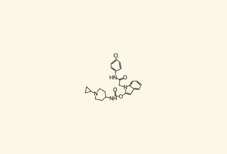 O=C(Cn1c(OC(=O)NC2CCN(C3CC3)CC2)cc2ccccc21)Nc1ccc(Cl)cc1